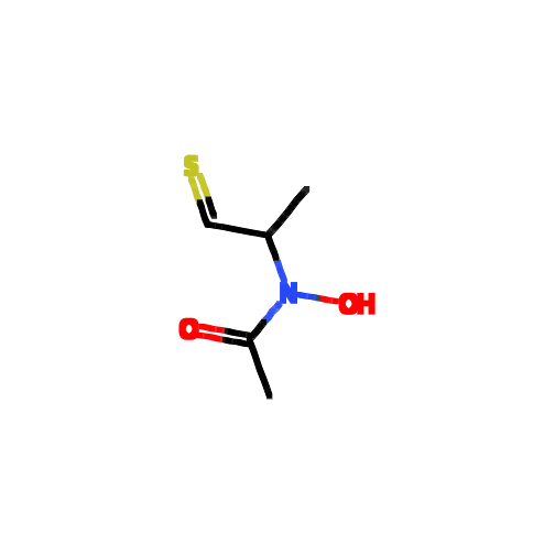 CC(=O)N(O)C(C)C=S